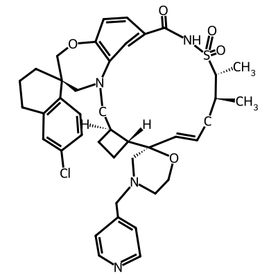 C[C@@H]1[C@@H](C)C/C=C/[C@]2(CN(Cc3ccncc3)CCO2)[C@@H]2CC[C@H]2CN2C[C@@]3(CCCc4cc(Cl)ccc43)COc3ccc(cc32)C(=O)NS1(=O)=O